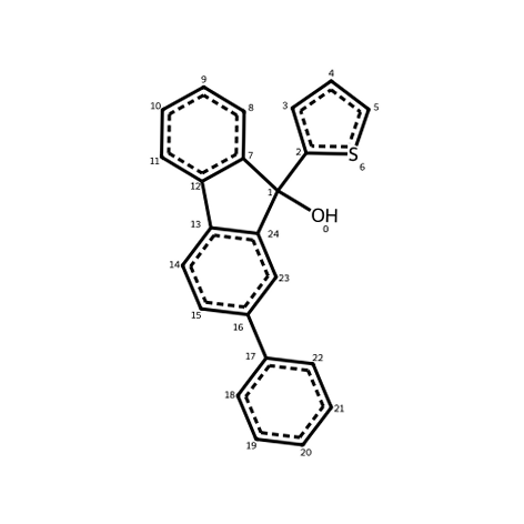 OC1(c2cccs2)c2ccccc2-c2ccc(-c3ccccc3)cc21